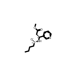 CCCC[S@@+]([O-])N[C@@H](CC(=O)OC)c1cccnc1